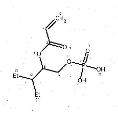 C=CC(=O)OC(COP(=O)(O)O)C(CC)CC